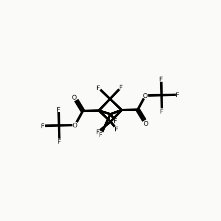 O=C(OC(F)(F)F)C12C(F)(F)C(C(=O)OC(F)(F)F)(C1(F)F)C2(F)F